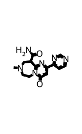 CN1CCn2c(nc(-c3ccncn3)cc2=O)C(C(N)=O)C1